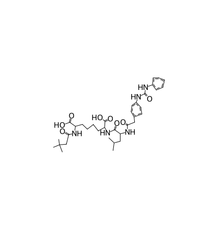 CC(C)CC(NC(=O)Cc1ccc(NC(=O)Nc2ccccc2)cc1)C(=O)NC(CCCCC(NC(=O)CC(C)(C)C)C(=O)O)C(=O)O